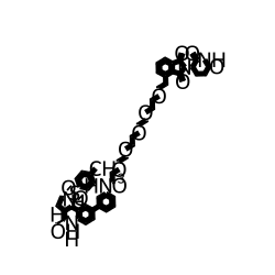 Cc1ccc(S(=O)(=O)N2CC[C@@H]3[C@H](CO)Nc4ccc(-c5cccc(NC(=O)COCCOCCOCCOCCOCCc6cccc7c6C(=O)N(C6CCC(=O)NC6=O)C7=O)c5)cc4[C@@H]32)cc1